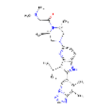 Cc1c(-c2[nH]c3ccc(N4C[C@@H](C)N(C(=O)CN(C)C)[C@H](C)C4)nc3c2C(C)C)cn2ncnc2c1C